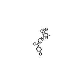 COc1ccc([S+]([O-])N2CCN(c3nc(C)cc(S(C)(=O)=O)n3)CC2)cc1